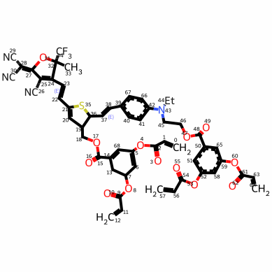 C=CC(=O)OC1=CC(OC(=O)C=C)CC(C(=O)OCC2C=C(/C=C/C3=C(C#N)C(=C(C#N)C#N)OC3(C)C(F)(F)F)SC2/C=C/c2ccc(N(CC)CCOC(=O)c3cc(OC(=O)C=C)cc(OC(=O)C=C)c3)cc2)=C1